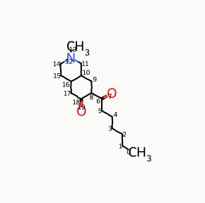 CCCCCCC(=O)C1CC2CN(C)CCC2CC1=O